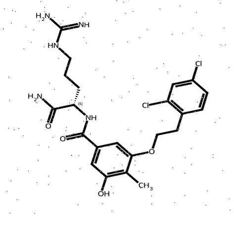 Cc1c(O)cc(C(=O)N[C@@H](CCCNC(=N)N)C(N)=O)cc1OCCc1ccc(Cl)cc1Cl